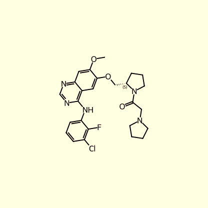 COc1cc2ncnc(Nc3cccc(Cl)c3F)c2cc1OC[C@@H]1CCCN1C(=O)CN1CCCC1